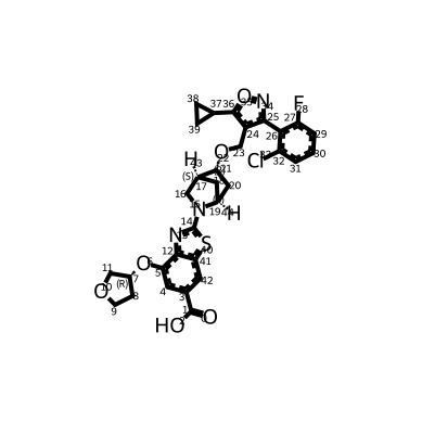 O=C(O)c1cc(O[C@@H]2CCOC2)c2nc(N3C[C@@H]4C[C@H]3C[C@H]4OCc3c(-c4c(F)cccc4Cl)noc3C3CC3)sc2c1